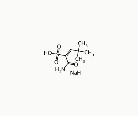 CC(C)(C)C=C(C(N)=O)S(=O)(=O)O.[NaH]